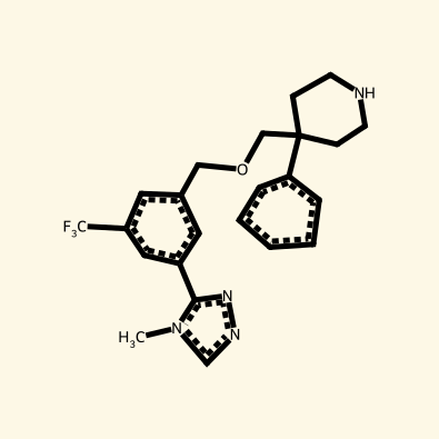 Cn1cnnc1-c1cc(COCC2(c3ccccc3)CCNCC2)cc(C(F)(F)F)c1